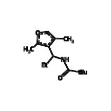 CCC(NC(=O)C(C)(C)C)c1c(C)coc1C